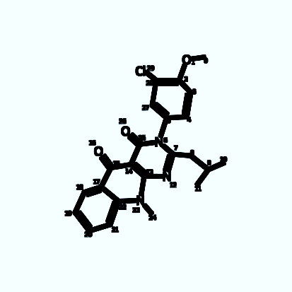 COc1ccc(-n2c(CC(C)C)nc3c(c(=O)c4ccccc4n3C)c2=O)cc1Cl